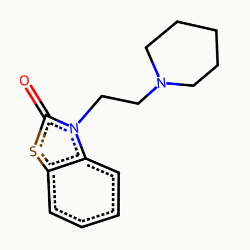 O=c1sc2ccccc2n1CCN1CCCCC1